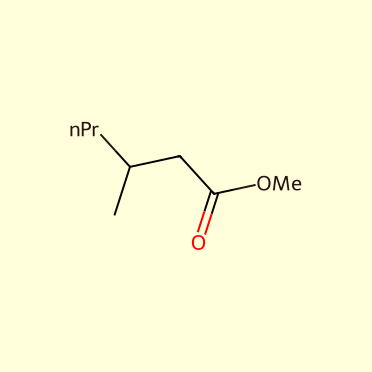 [CH]OC(=O)CC(C)CCC